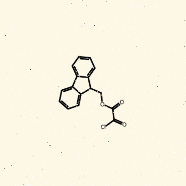 O=C(Cl)C(=O)OCC1c2ccccc2-c2ccccc21